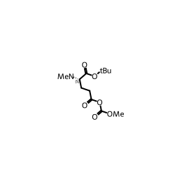 CN[C@@H](CCC(=O)OC(=O)OC)C(=O)OC(C)(C)C